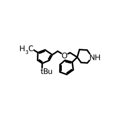 Cc1cc(COCC2(c3ccccc3)CCNCC2)cc(C(C)(C)C)c1